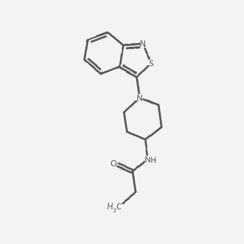 CCC(=O)NC1CCN(c2snc3ccccc23)CC1